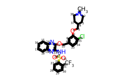 CN1CCC(COc2cc(COc3nc4ccccc4nc3NS(=O)(=O)c3ccccc3C(F)(F)F)ccc2Cl)CC1